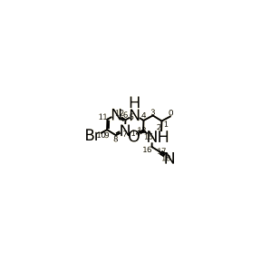 CC(C)CC(Nc1ncc(Br)cn1)C(=O)NCC#N